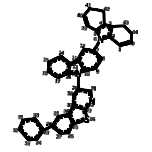 C1=Cc2c(c3c(n2-c2ccc4c(c2)c2ccccc2n4-c2cnc4sc5ccc(-c6ccccc6)cc5c4c2)C=CCC3)CC1